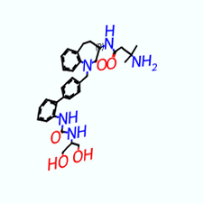 CC(C)(N)CC(=O)N[C@@H]1CCc2ccccc2N(Cc2ccc(-c3ccccc3NC(=O)NC(CO)CO)cc2)C1=O